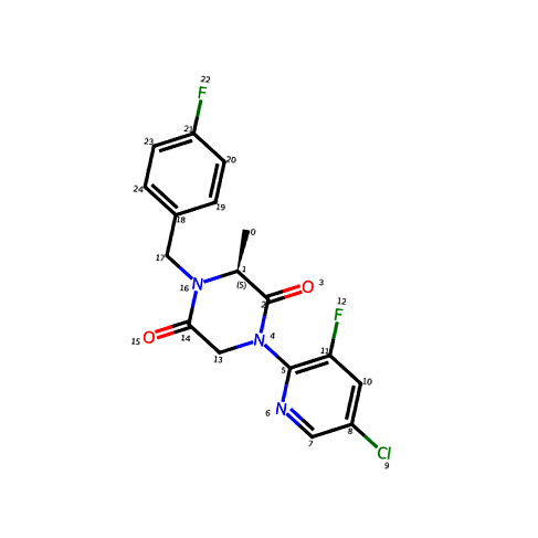 C[C@H]1C(=O)N(c2ncc(Cl)cc2F)CC(=O)N1Cc1ccc(F)cc1